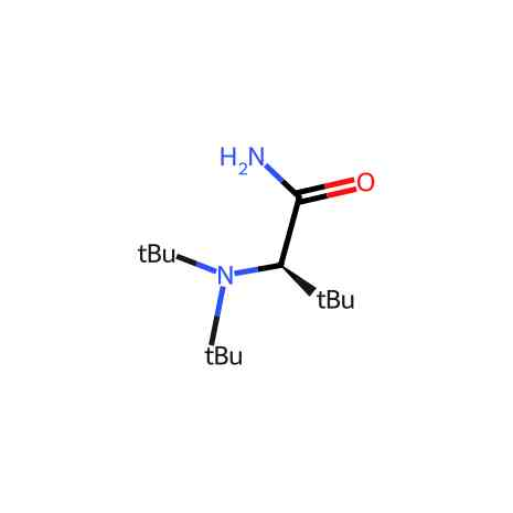 CC(C)(C)[C@H](C(N)=O)N(C(C)(C)C)C(C)(C)C